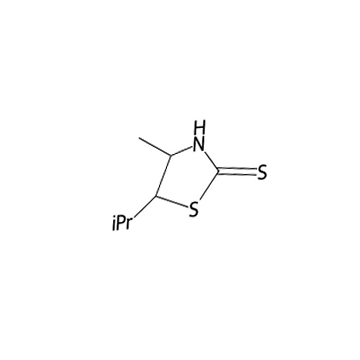 CC(C)C1SC(=S)NC1C